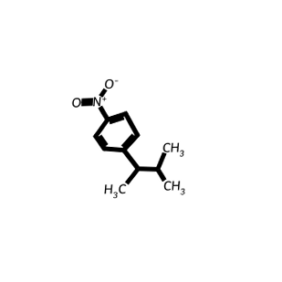 CC(C)C(C)c1ccc([N+](=O)[O-])cc1